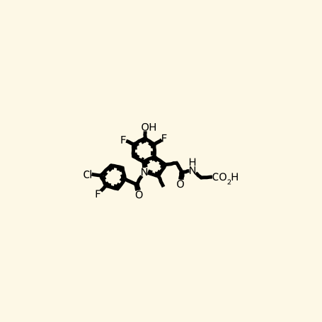 Cc1c(CC(=O)NCC(=O)O)c2c(F)c(O)c(F)cc2n1C(=O)c1ccc(Cl)c(F)c1